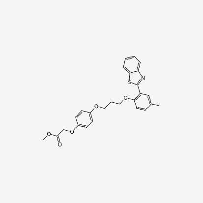 COC(=O)COc1ccc(OCCCOc2ccc(C)cc2-c2nc3ccccc3s2)cc1